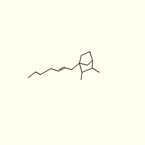 CCCCC=CCC12CCC(C1)C(C)C2C